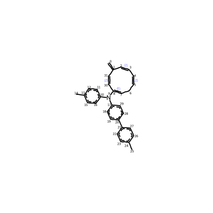 C=C1/C=C\C=C/C/C=C(N(c2ccc(C)cc2)c2ccc(-c3ccc(C)cc3)cc2)\C=C/1